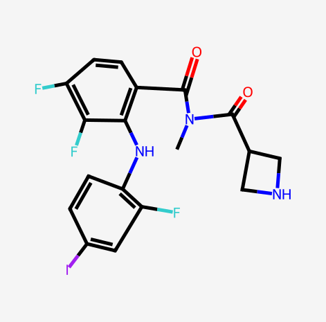 CN(C(=O)c1ccc(F)c(F)c1Nc1ccc(I)cc1F)C(=O)C1CNC1